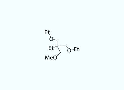 CCOCC(CC)(COC)COCC